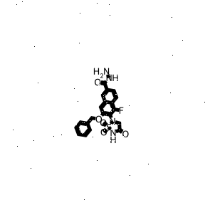 NNC(=O)c1ccc2c(F)c(N3CC(=O)NS3(=O)=O)c(OCc3ccccc3)cc2c1